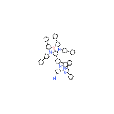 N#Cc1ccc(-n2c3ccccc3c3cc(-c4cc5c6c(c4)N(c4ccc(-c7ccccc7)cc4)c4ccc(-c7ccccc7)cc4B6c4cc(-c6ccccc6)ccc4N5c4ccc(-c5ccccc5)cc4)ccc32)c(-c2nc(-c3ccccc3)cc(-c3ccccc3)n2)c1